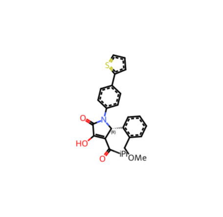 COCc1ccccc1[C@@H]1C(C(=O)C(C)C)=C(O)C(=O)N1c1ccc(-c2cccs2)cc1